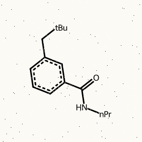 CCCNC(=O)c1cccc(CC(C)(C)C)c1